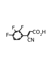 N#CC(=CC(=O)O)c1ccc(F)c(F)c1F